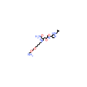 NCCOCCOCCCCCCn1cc(CC(=O)c2coc(-c3ccnc(NCC4CC4)c3)n2)c(C(N)=O)n1